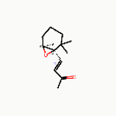 CC(=O)/C=C/[C@]12O[C@@]1(C)CCCC2(C)C